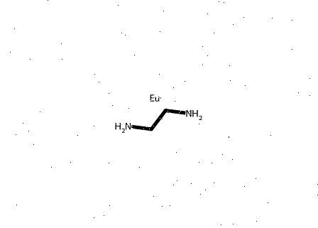 NCCN.[Eu]